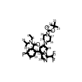 CCN(C(=O)c1cc(F)ccc1-c1cc(N2CCN(C(=O)OC(C)(C)C)CC2)cn2c(C(F)F)ncc12)C(C)C